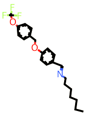 CCCCCCCN=Cc1ccc(OCc2ccc(OC(F)(F)F)cc2)cc1